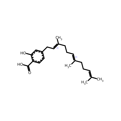 CC(C)=CCC/C(C)=C/CC/C(C)=C/Cc1ccc(C(=O)O)c(O)c1